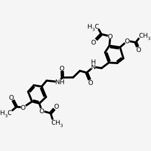 CC(=O)Oc1ccc(CNC(=O)CCC(=O)NCc2ccc(OC(C)=O)c(OC(C)=O)c2)cc1OC(C)=O